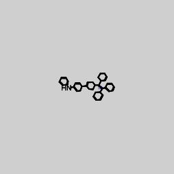 C1=CCC(/C(=C(/C2C=CCCC2)C2CC=C(C3C=CC(Nc4ccccc4)=CC3)CC2)c2ccccc2)C=C1